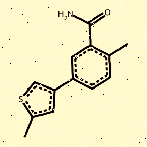 Cc1cc(-c2ccc(C)c(C(N)=O)c2)cs1